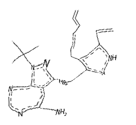 C=C/C=C\c1c(Bc2nn(C(C)(C)C)c3ncnc(N)c23)n[nH]c1C=C